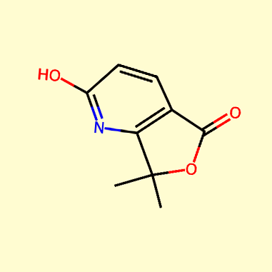 CC1(C)OC(=O)c2ccc(O)nc21